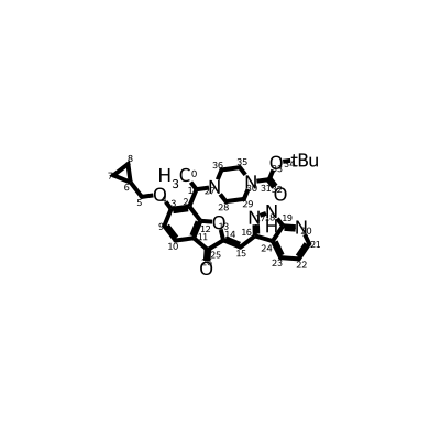 CC(c1c(OCC2CC2)ccc2c1O/C(=C\c1n[nH]c3ncccc13)C2=O)N1CCN(C(=O)OC(C)(C)C)CC1